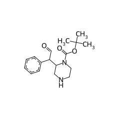 CC(C)(C)OC(=O)N1CCNCC1C(C=O)c1ccccc1